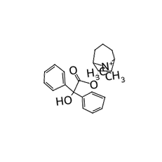 C[N+]1(C)C2CCCC1[C@@H](OC(=O)C(O)(c1ccccc1)c1ccccc1)C2